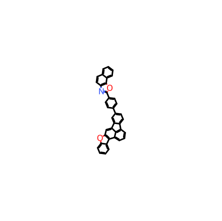 c1ccc2c(c1)ccc1nc(-c3ccc(-c4ccc5c(c4)-c4cc6oc7ccccc7c6c6cccc-5c46)cc3)oc12